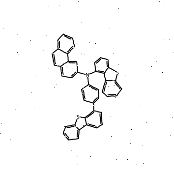 c1ccc2c(c1)ccc1ccc(N(c3ccc(-c4cccc5c4sc4ccccc45)cc3)c3cccc4sc5ccccc5c34)cc12